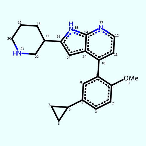 COc1ccc(C2CC2)cc1-c1ccnc2[nH]c(C3CCCNC3)cc12